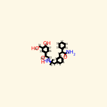 CC(C)(Cc1cccc(CC(C(N)=O)c2ccccc2)c1)NC[C@H](O)c1ccc(O)c(CO)c1